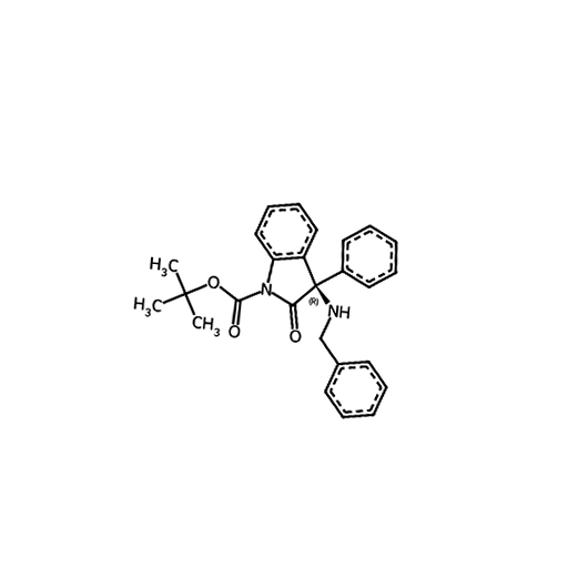 CC(C)(C)OC(=O)N1C(=O)[C@@](NCc2ccccc2)(c2ccccc2)c2ccccc21